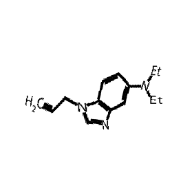 C=CCn1cnc2cc(N(CC)CC)ccc21